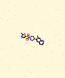 Cc1ncc(S(=O)(=O)N2CCC(c3cc4cccnc4cc3C)CC2)s1